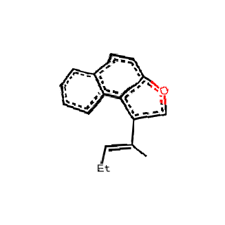 [CH2]CC=C(C)c1coc2ccc3ccccc3c12